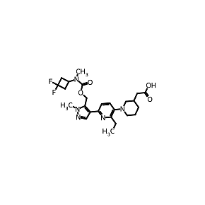 CCc1nc(-c2cnn(C)c2COC(=O)N(C)C2CC(F)(F)C2)ccc1N1CCCC(CC(=O)O)C1